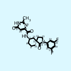 Cc1nc(C(=O)N[C@@H]2CCC[C@@]3(CCN(c4cc(F)cc(F)c4)C3=O)C2)cc(=O)[nH]1